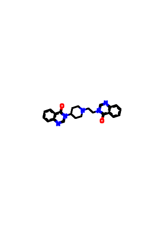 O=c1c2ccccc2ncn1CCN1CCC(n2cnc3ccccc3c2=O)CC1